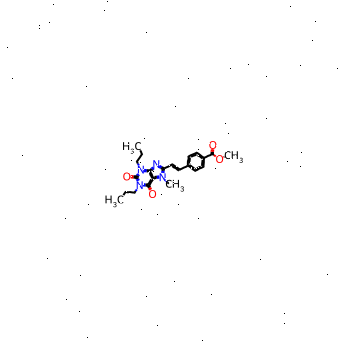 CCCn1c(=O)c2c(nc(C=Cc3ccc(C(=O)OC)cc3)n2C)n(CCC)c1=O